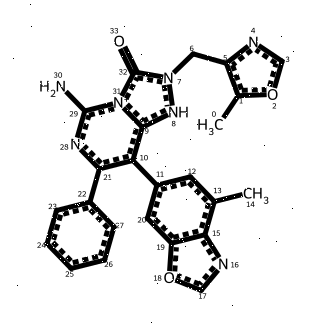 Cc1ocnc1Cn1[nH]c2c(-c3cc(C)c4ncoc4c3)c(-c3ccccc3)nc(N)[n+]2c1=O